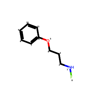 FNCCCOc1ccccc1